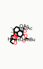 CCC(C)C(=O)O[C@H]1[C@H](OC(C)=O)[C@@H](O)[C@@H]2[C@@](C)(C3C[C@H]4CCO[C@H]4O3)[C@H](C)C[C@H](OC(C)=O)[C@@]2(COC(C)=O)[C@@]12CO2